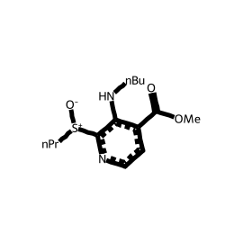 CCCCNc1c(C(=O)OC)ccnc1[S+]([O-])CCC